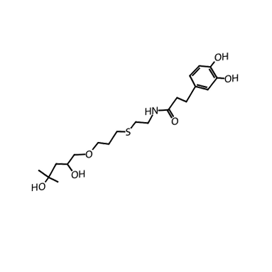 CC(C)(O)CC(O)COCCCSCCNC(=O)CCc1ccc(O)c(O)c1